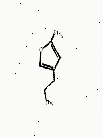 CCCc1[c]c(C)oc1